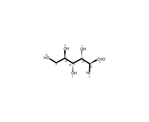 O=C[C@@H]([18F])[C@@H](O)[C@H](O)[C@H](O)CO